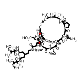 CSC[C@@H]1NC(=O)[C@H](CC(C)C)NC(=O)[C@H](CCC(=O)O)NC(=O)[C@@H]2CSSC[C@@H](C)NC(=O)[C@H](C)NC(=O)[C@@H]3CCCN3C(=O)[C@H](CC(N)=O)NC(=O)[C@H](CSSC[C@H](NC(=O)CCC(=O)NCCC(CCNC(C)(C)/C(C)=N\O)CCNC(C)(C)/C(C)=N\O)C(=O)N2)NC1=O